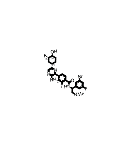 CNCC(NC(=O)c1ccc(-c2nc([C@H]3CC[C@H](O)[C@@H](F)C3)cnc2N)cc1F)c1cc(F)cc(Br)c1